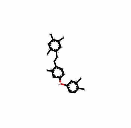 Cc1ccc(Oc2ccc(CCc3cc(C)c(C)cc3C)c(C)c2)cc1C